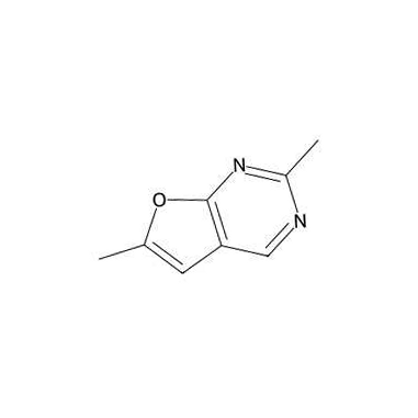 Cc1ncc2cc(C)oc2n1